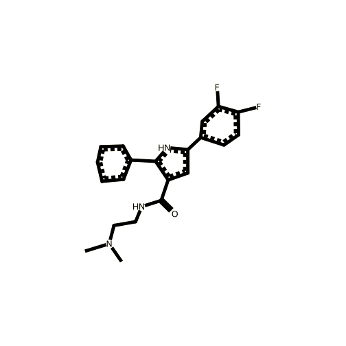 CN(C)CCNC(=O)c1cc(-c2ccc(F)c(F)c2)[nH]c1-c1ccccc1